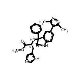 COC(=O)[C@H](Cc1cnc[nH]1)NC1(c2ccccc2)C(=O)Nc2ccc(-c3c(C)noc3C)cc21